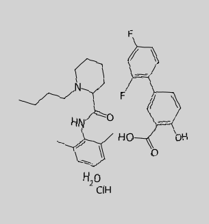 CCCCN1CCCCC1C(=O)Nc1c(C)cccc1C.Cl.O.O=C(O)c1cc(-c2ccc(F)cc2F)ccc1O